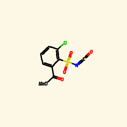 COC(=O)c1cccc(Cl)c1S(=O)(=O)N=C=O